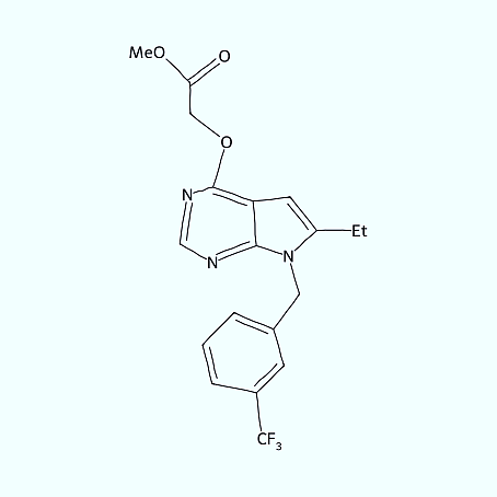 CCc1cc2c(OCC(=O)OC)ncnc2n1Cc1cccc(C(F)(F)F)c1